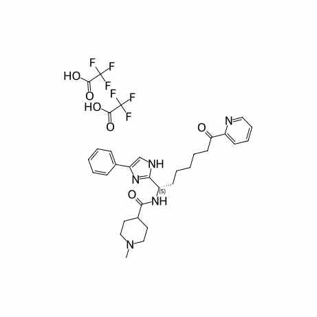 CN1CCC(C(=O)N[C@@H](CCCCCC(=O)c2ccccn2)c2nc(-c3ccccc3)c[nH]2)CC1.O=C(O)C(F)(F)F.O=C(O)C(F)(F)F